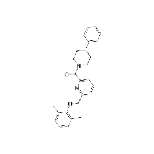 Cc1cccc(C)c1OCc1cccc(C(=O)N2CCC(c3ccccc3)CC2)n1